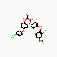 CC(Oc1ccc(Oc2ccc(Cl)cc2)cc1)C(=O)Oc1ccc(Oc2ccc([N+](=O)[O-])cc2Cl)cc1